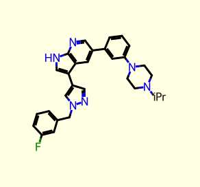 CC(C)N1CCN(c2cccc(-c3cnc4[nH]cc(-c5cnn(Cc6cccc(F)c6)c5)c4c3)c2)CC1